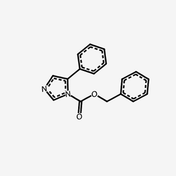 O=C(OCc1ccccc1)n1cncc1-c1ccccc1